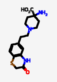 NC1(C(=O)O)CCN(CCc2ccc3c(c2)NC(=O)CS3)CC1